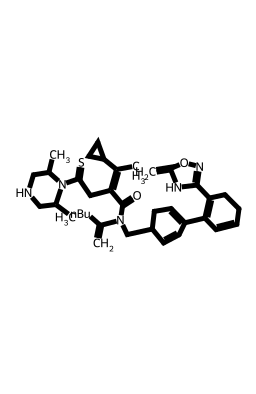 C=C1NC(C2=C(C3=CCC(CN(C(=C)CCCC)C(=O)/C(CC(=S)N4C(C)CNCC4C)=C(\C)C4CC4)C=C3)C=CCC2)=NO1